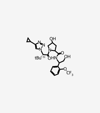 CC(C)(C)[C@@H](C(=O)N1CC(O)CC1C(=O)NC(CO)c1ccccc1OC(F)(F)F)n1cc(C2CC2)nn1